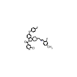 Cc1ccc(/C=C/CN2CCC3(CC2)CN(C(=O)c2ccnc(Cl)c2)c2ccc(Sc4ccc(F)cc4)cc23)c(F)c1